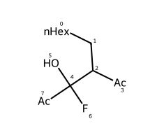 CCCCCCCC(C(C)=O)C(O)(F)C(C)=O